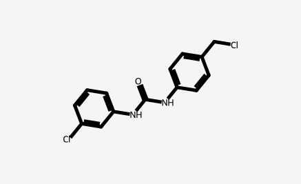 O=C(Nc1ccc(CCl)cc1)Nc1cccc(Cl)c1